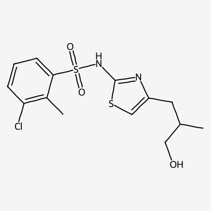 Cc1c(Cl)cccc1S(=O)(=O)Nc1nc(CC(C)CO)cs1